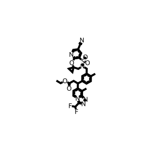 CCOC(=O)CC(c1ccc(C)c(CN2CC3(CC3)Oc3ncc(C#N)cc3S2(=O)=O)c1)c1ccn2c(C(F)F)nnc2c1C